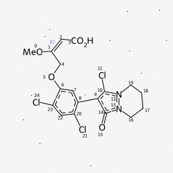 CO/C(=C/C(=O)O)COc1cc(-c2c(Cl)n3n(c2=O)CCCC3)c(Cl)cc1Cl